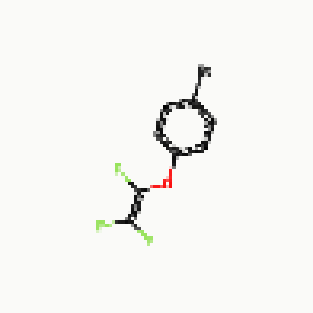 CCc1ccc(OC(F)=C(F)F)cc1